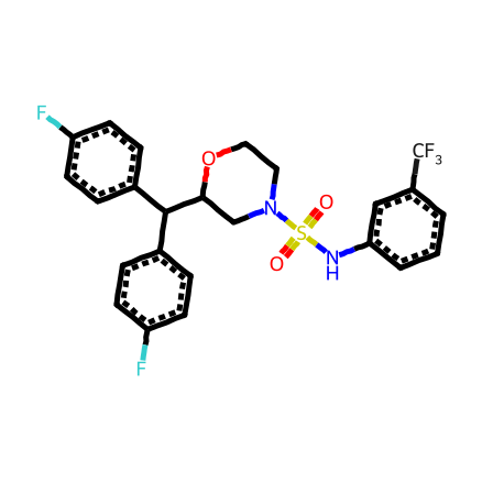 O=S(=O)(Nc1cccc(C(F)(F)F)c1)N1CCOC(C(c2ccc(F)cc2)c2ccc(F)cc2)C1